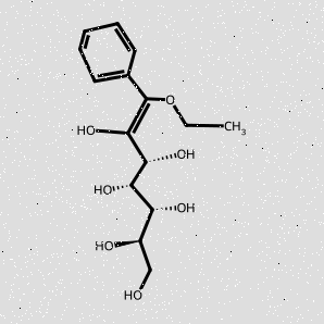 CCOC(=C(O)[C@H](O)[C@@H](O)[C@H](O)[C@H](O)CO)c1ccccc1